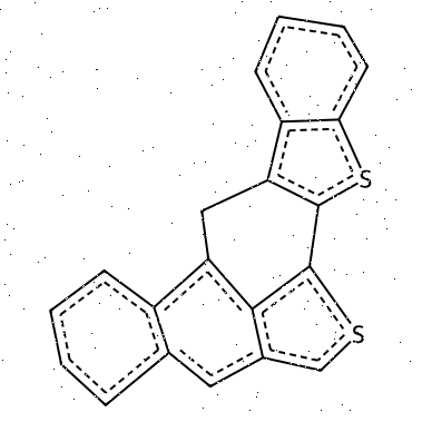 c1ccc2c3c4c(scc4cc2c1)-c1sc2ccccc2c1C3